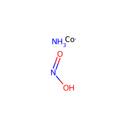 N.O=NO.[Co]